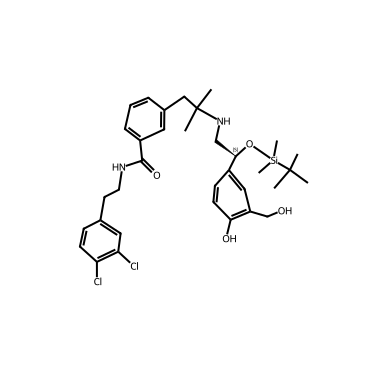 CC(C)(Cc1cccc(C(=O)NCCc2ccc(Cl)c(Cl)c2)c1)NC[C@@H](O[Si](C)(C)C(C)(C)C)c1ccc(O)c(CO)c1